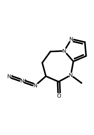 CN1C(=O)C(N=[N+]=[N-])CCn2nccc21